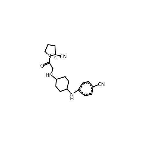 N#Cc1ccc(NC2CCC(NCC(=O)N3CCC[C@H]3C#N)CC2)cc1